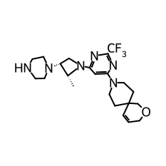 C[C@@H]1[C@H](N2CCNCC2)CN1c1cc(N2CCC3(C=CCOC3)CC2)nc(C(F)(F)F)n1